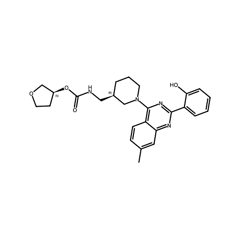 Cc1ccc2c(N3CCC[C@H](CNC(=O)O[C@H]4CCOC4)C3)nc(-c3ccccc3O)nc2c1